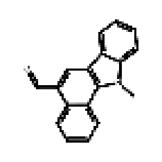 Cn1c2ccccc2c2cc(C=O)c3ccccc3c21